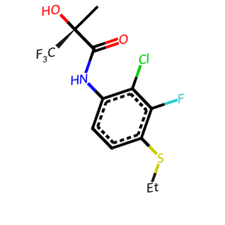 CCSc1ccc(NC(=O)[C@@](C)(O)C(F)(F)F)c(Cl)c1F